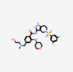 CN(CCO)Cc1ccc(C(=O)Nc2n[nH]c3c2CN(S(=O)(=O)c2cc(F)cc(F)c2)CC3)c(NC2CCOCC2)c1